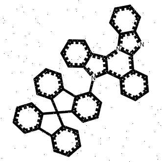 c1ccc2c(c1)-c1ccccc1C21c2ccccc2-c2c(-n3c4ccccc4c4c3c3ccccc3c3nc5ccccc5n34)cccc21